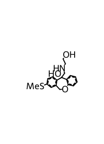 CSc1ccc2c(c1)COc1ccccc1C2(O)CNCCO